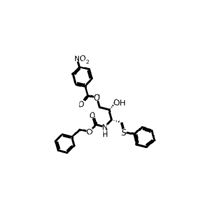 O=C(N[C@@H](CSc1ccccc1)[C@@H](O)COC(=O)c1ccc([N+](=O)[O-])cc1)OCc1ccccc1